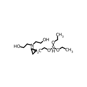 C1CC1.CCO[SiH](OCC)OCC.OCCNCCO